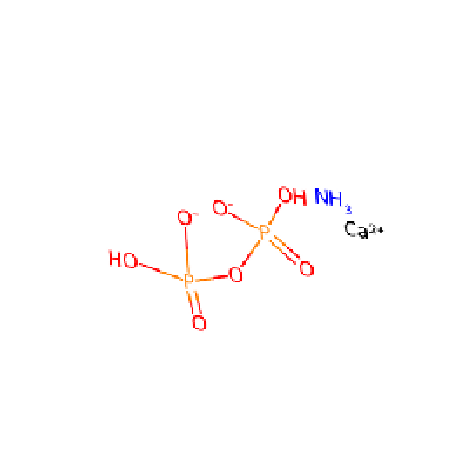 N.O=P([O-])(O)OP(=O)([O-])O.[Ca+2]